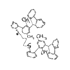 Cc1cc(-c2ccccc2SCCCCSc2ccccc2-c2cc(C)cc(C3c4ccccc4-c4ccccc43)c2O)c(O)c(C2c3ccccc3-c3ccccc32)c1